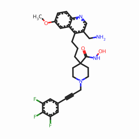 COc1ccc2ncc(CN)c(CCCC3(C(=O)NO)CCN(CC#Cc4cc(F)c(F)c(F)c4)CC3)c2c1